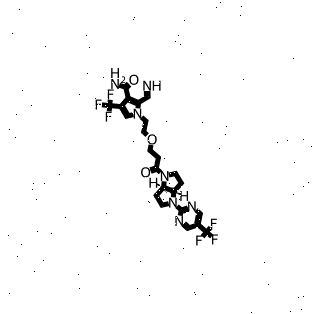 N=Cc1c(C(N)=O)c(C(F)(F)F)cn1CCOCCC(=O)N1CC[C@@H]2[C@H]1CCN2c1ncc(C(F)(F)F)cn1